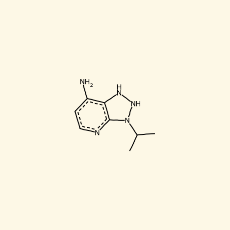 CC(C)N1NNc2c(N)ccnc21